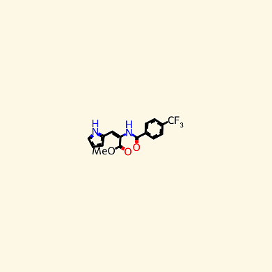 COC(=O)C(=Cc1ccc[nH]1)NC(=O)c1ccc(C(F)(F)F)cc1